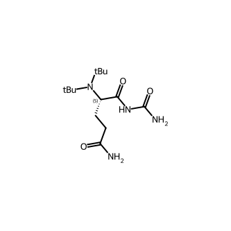 CC(C)(C)N([C@@H](CCC(N)=O)C(=O)NC(N)=O)C(C)(C)C